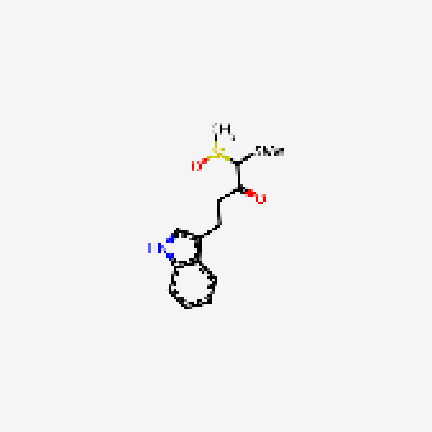 CSC(C(=O)CCc1c[nH]c2ccccc12)[S+](C)[O-]